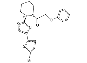 O=C(COc1ccccc1)N1CCCC[C@@H]1c1nc(-c2ccc(Br)s2)cs1